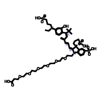 C=C(/C=C(\c1ccc(N(CC)CCCS(=O)(=O)O)cc1O)C(C)(C)C)/C=C/C=C1/N(CCOCCOCCOCCOCCOCCOCCC(=O)O)c2ccc(S(=O)(=O)O)cc2C1(C)CCCS(=O)(=O)O